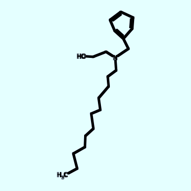 CCCCCCCCCCCCN(CCO)Cc1ccccc1